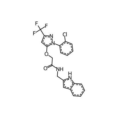 O=C(COc1cc(C(F)(F)F)nn1-c1ccccc1Cl)NCc1cc2ccccc2[nH]1